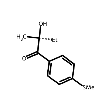 CC[C@](C)(O)C(=O)c1ccc(SC)cc1